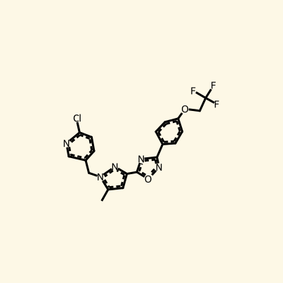 Cc1cc(-c2nc(-c3ccc(OCC(F)(F)F)cc3)no2)nn1Cc1ccc(Cl)nc1